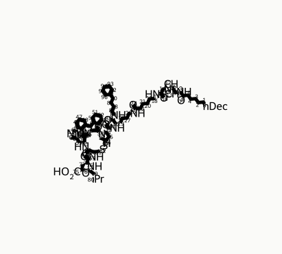 CCCCCCCCCCCCCCCC(=O)NCC[N+](C)(C)CC(=O)NCCCCCC(=O)NCCCC[C@H](NC(=O)[C@@H]1C[C@@H]2CN1C(=O)[C@H](C(c1ccccc1)c1ccccc1)NC(=O)[C@H](Cc1cnc[nH]1)NC(=O)[C@@H](NC(=O)[C@H](CCC(=O)O)NC(=O)CC(C)C)CSS2)C(=O)NCCCCc1ccccc1